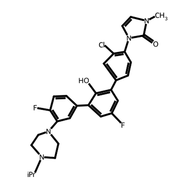 CC(C)N1CCN(c2cc(-c3cc(F)cc(-c4ccc(-n5ccn(C)c5=O)c(Cl)c4)c3O)ccc2F)CC1